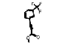 COC(=O)C#Cc1cccc(C(F)(F)F)c1